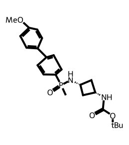 COc1ccc(-c2ccc(P(C)(=O)N[C@H]3C[C@@H](NC(=O)OC(C)(C)C)C3)cc2)cc1